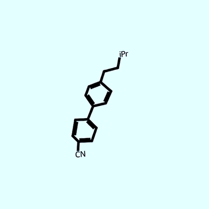 CC(C)CCc1ccc(-c2ccc(C#N)cc2)cc1